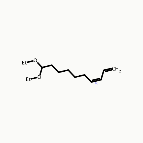 C=C/C=C\CCCCCC(OCC)OCC